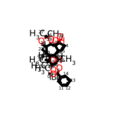 CCC(C)CO[C@]1(C)[C@H](OC(=O)c2ccccc2)[C@@H](C)[C@@]2(O)[C@@H]([C@@H]3C[C@@]34COC(C)(C)OC4[C@]3(O)C(=O)C=C[C@@H]23)C1(C)C